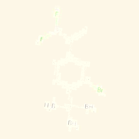 BC(B)(B)c1ccc(C(=C)C(F)F)cc1Br